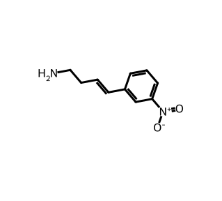 NCCC=Cc1cccc([N+](=O)[O-])c1